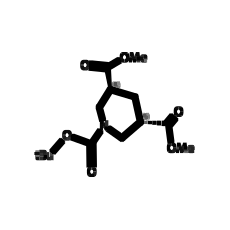 COC(=O)[C@H]1C[C@H](C(=O)OC)CN(C(=O)OC(C)(C)C)C1